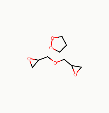 C(OCC1CO1)C1CO1.C1COOC1